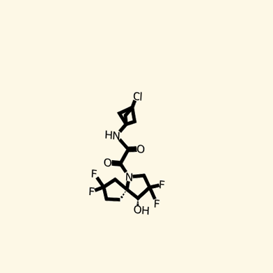 O=C(NC12CC(Cl)(C1)C2)C(=O)N1CC(F)(F)[C@H](O)[C@]12CCC(F)(F)C2